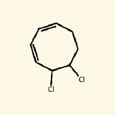 ClC1C=CC=CCCC1Cl